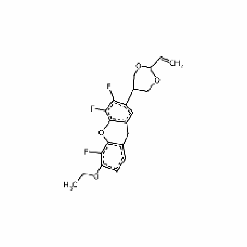 C=CC1OCC(c2cc3c(c(F)c2F)Oc2c(ccc(OCC)c2F)C3)CO1